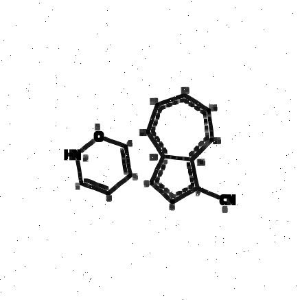 C1=CNOC=C1.N#Cc1ccc2cccccc1-2